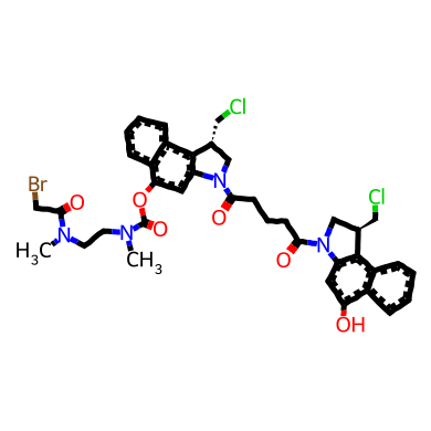 CN(CCN(C)C(=O)Oc1cc2c(c3ccccc13)[C@H](CCl)CN2C(=O)CCCC(=O)N1C[C@@H](CCl)c2c1cc(O)c1ccccc21)C(=O)CBr